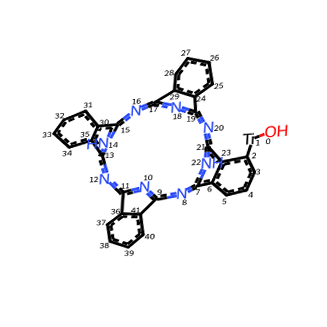 [OH][Ti][c]1cccc2c3nc4nc(nc5[nH]c(nc6nc(nc([nH]3)c12)-c1ccccc1-6)c1ccccc51)-c1ccccc1-4